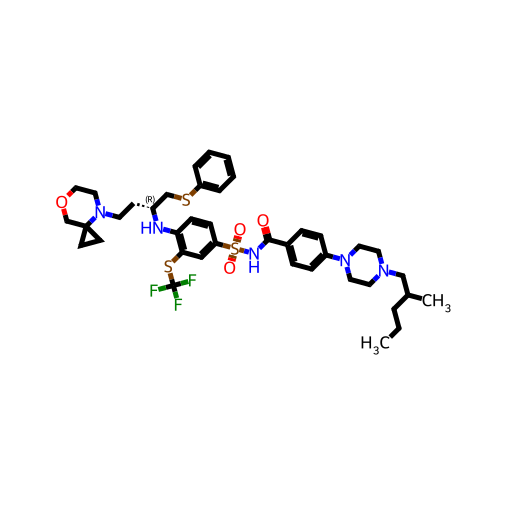 CCCC(C)CN1CCN(c2ccc(C(=O)NS(=O)(=O)c3ccc(N[C@H](CCN4CCOCC45CC5)CSc4ccccc4)c(SC(F)(F)F)c3)cc2)CC1